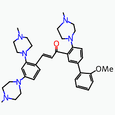 COc1ccccc1-c1ccc(N2CCN(C)CC2)c(C(=O)/C=C/c2ccc(N3CCN(C)CC3)cc2N2CCN(C)CC2)c1